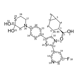 O=C(O)[C@@H]1CC2CC2C[C@H]1c1nc(-c2cncc(F)c2)sc1-c1ccc(N2CCSC(O)(O)C2)cc1